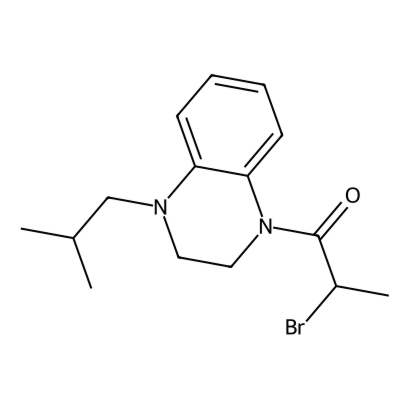 CC(C)CN1CCN(C(=O)C(C)Br)c2ccccc21